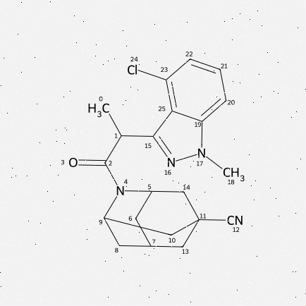 CC(C(=O)N1C2CC3CC1CC(C#N)(C3)C2)c1nn(C)c2cccc(Cl)c12